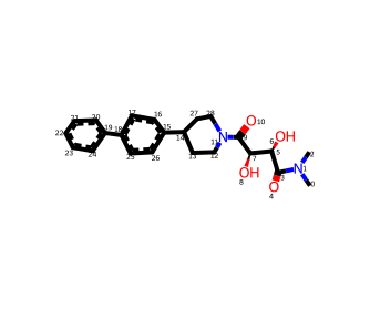 CN(C)C(=O)[C@H](O)[C@@H](O)C(=O)N1CCC(c2ccc(-c3ccccc3)cc2)CC1